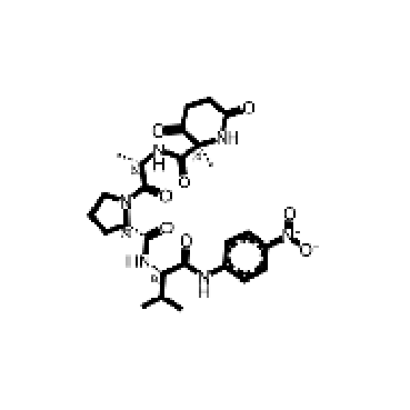 CC(C)[C@H](NC(=O)[C@@H]1CCCN1C(=O)[C@H](C)NC(=O)[C@]1(C)NC(=O)CCC1=O)C(=O)Nc1ccc([N+](=O)[O-])cc1